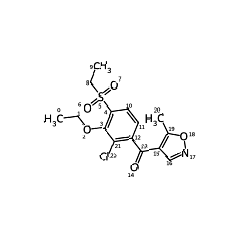 CCOc1c(S(=O)(=O)CC)ccc(C(=O)c2cnoc2C)c1Cl